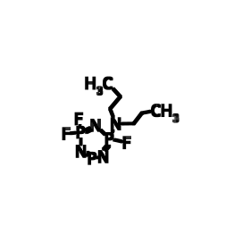 CCCN(CCC)P1(F)=NP=NP(F)(F)=N1